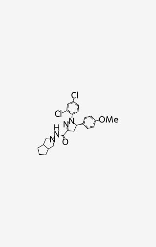 COc1ccc([C@H]2CC(C(=O)NN3CC4CCCC4C3)=NN2c2ccc(Cl)cc2Cl)cc1